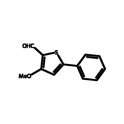 COc1cc(-c2ccccc2)sc1C=O